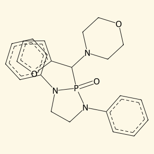 O=P1(C(c2ccco2)N2CCOCC2)N(c2ccccc2)CCN1c1ccccc1